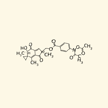 CC(=O)ON(C(C)=O)c1ccc(C(=O)OC[C@]2(C)C=C3C(=O)[C@](C)(O)C4(CC4)C(C)=C3C2=O)cc1